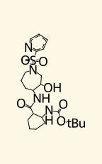 CC(C)(C)OC(=O)NC1CCCCC1C(=O)NC1CCCN(S(=O)(=O)c2ccccn2)CC1O